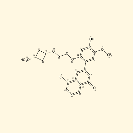 O=c1cc(-c2cc(OC(F)(F)F)c(O)cc2OCCO[C@H]2C[C@@H](C(=O)O)C2)oc2c(Cl)cccc12